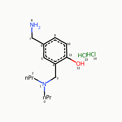 CCCN(CCC)Cc1cc(CN)ccc1O.Cl.Cl